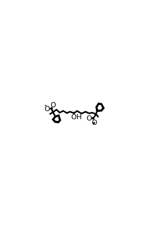 COC(=O)C(C)(CCCCCC(O)CCCCCC(C)(C(=O)OC)c1ccccc1)c1ccccc1